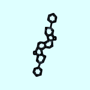 c1ccc(-c2ccc3c(c2)oc2ccc4c(ccc5oc6cc(-c7ccccc7)ccc6c54)c23)cc1